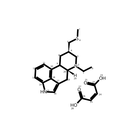 CCN1C[C@H](CSC)CC2c3cccc4[nH]cc(c34)C[C@H]21.O=C(O)/C=C\C(=O)O